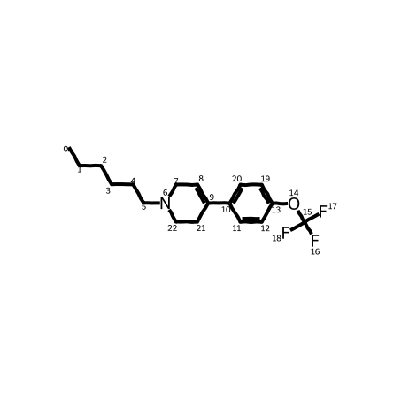 [CH2]CCCCCN1CC=C(c2ccc(OC(F)(F)F)cc2)CC1